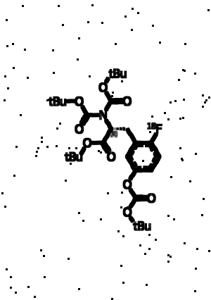 CC(C)(C)OC(=O)Oc1ccc([18F])c(C[C@H](C(=O)OC(C)(C)C)N(C(=O)OC(C)(C)C)C(=O)OC(C)(C)C)c1